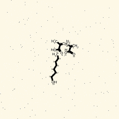 C=C(C)C(=O)O.C=C(C)C(=O)O.CCCCCCCO